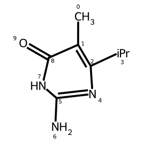 Cc1c(C(C)C)nc(N)[nH]c1=O